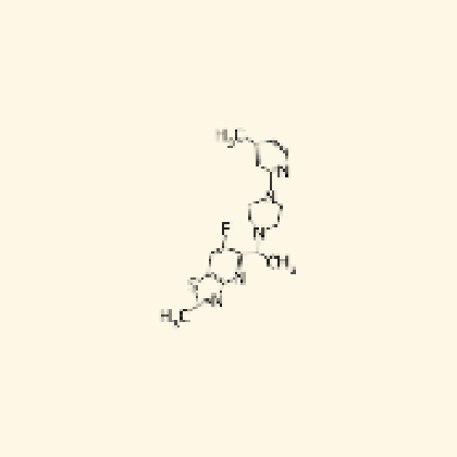 Cc1ccnc(N2CCN(C(C)c3nc4nc(C)sc4cc3F)CC2)c1